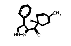 CC1=CCC(I)(C(=O)C2=NNCC2c2ccccc2)C=C1